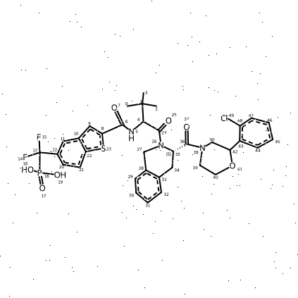 CC(C)(C)C(NC(=O)c1cc2cc(C(F)(F)P(=O)(O)O)ccc2s1)C(=O)N1Cc2ccccc2C[C@H]1C(=O)N1CCOC(c2ccccc2Cl)C1